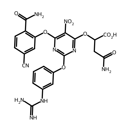 N#Cc1ccc(C(N)=O)c(Oc2nc(Oc3cccc(NC(=N)N)c3)nc(OC(CC(N)=O)C(=O)O)c2[N+](=O)[O-])c1